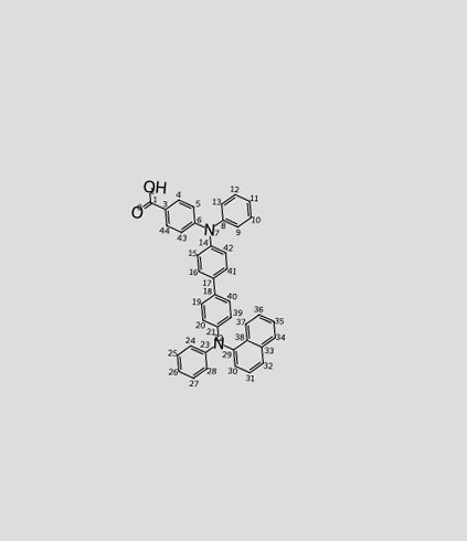 O=C(O)c1ccc(N(c2ccccc2)c2ccc(-c3ccc(N(c4ccccc4)c4cccc5ccccc45)cc3)cc2)cc1